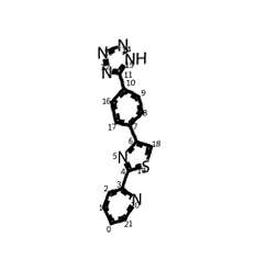 c1ccc(-c2nc(-c3ccc(-c4nnn[nH]4)cc3)cs2)nc1